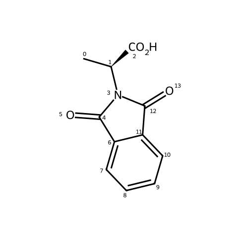 C[C@@H](C(=O)O)N1C(=O)c2ccccc2C1=O